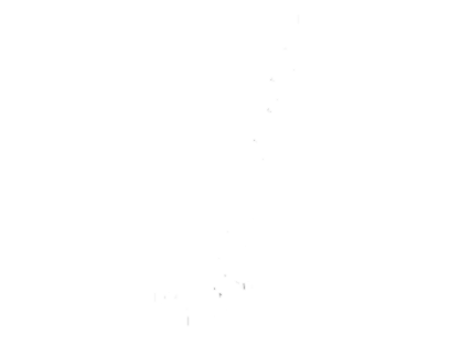 CCCCCCCCCCCCCCCCCC(=O)N(CC)CCC